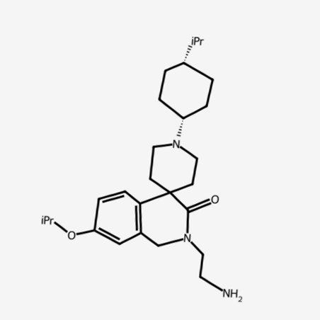 CC(C)Oc1ccc2c(c1)CN(CCN)C(=O)C21CCN([C@H]2CC[C@@H](C(C)C)CC2)CC1